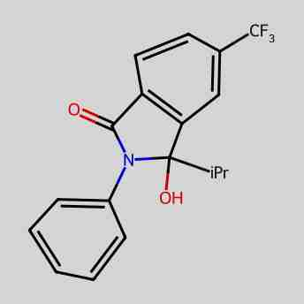 CC(C)C1(O)c2cc(C(F)(F)F)ccc2C(=O)N1c1ccccc1